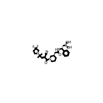 CC(C)(C=C(C#N)C(=O)N1CCC[C@H](CC(=O)N[C@H](CB(O)O)c2ccccc2)C1)N1CCC(F)(F)C1